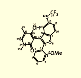 COc1ccccc1-c1sc2ccc(SC(F)(F)F)cc2c1-c1c(O)c(C)nn(C)c1=O